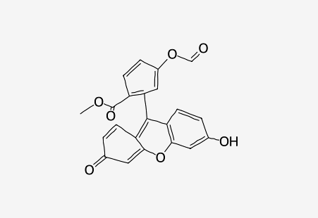 COC(=O)c1ccc(OC=O)cc1-c1c2ccc(=O)cc-2oc2cc(O)ccc12